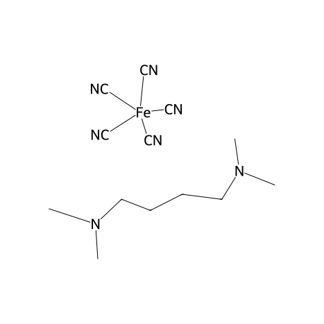 CN(C)CCCCN(C)C.N#[C][Fe]([C]#N)([C]#N)([C]#N)[C]#N